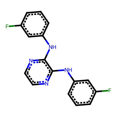 Fc1cccc(Nc2nccnc2Nc2cccc(F)c2)c1